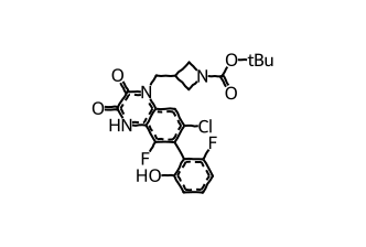 CC(C)(C)OC(=O)N1CC(Cn2c(=O)c(=O)[nH]c3c(F)c(-c4c(O)cccc4F)c(Cl)cc32)C1